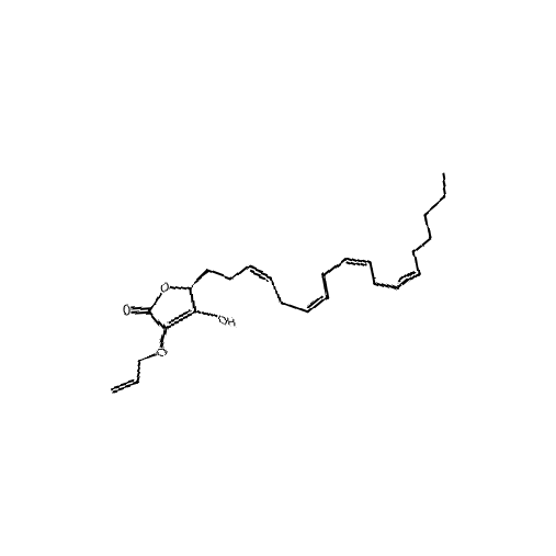 C=CCOC1=C(O)[C@H](CC/C=C\C/C=C\C/C=C\C/C=C\CCCCC)OC1=O